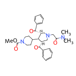 COC(=O)N1CCC(C2[C@@H](C(=O)c3ccccc3)CN(CC(=O)N(C)C)C[C@H]2C(=O)c2ccccc2)CC1